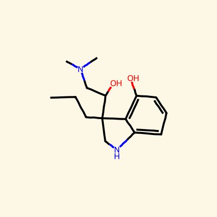 CCCC1(C(O)CN(C)C)CNc2cccc(O)c21